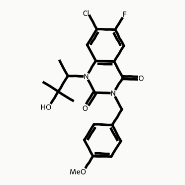 COc1ccc(Cn2c(=O)c3cc(F)c(Cl)cc3n(C(C)C(C)(C)O)c2=O)cc1